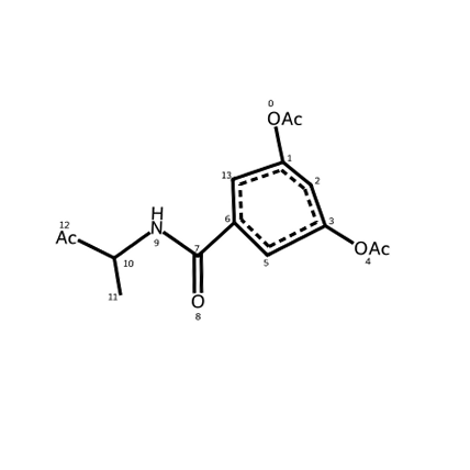 CC(=O)Oc1cc(OC(C)=O)cc(C(=O)NC(C)C(C)=O)c1